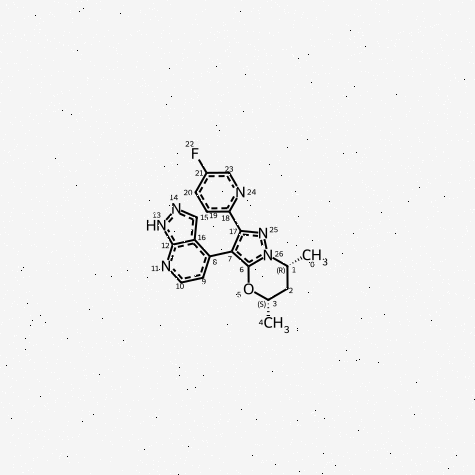 C[C@@H]1C[C@H](C)Oc2c(-c3ccnc4[nH]ncc34)c(-c3ccc(F)cn3)nn21